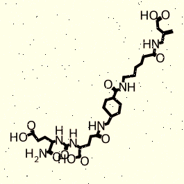 C=C(CNC(=O)CCCCCNC(=O)C1CCC(CNC(=O)CCC(NC(=O)NC(CCC(=O)O)C(N)=O)C(=O)O)CC1)CC(=O)O